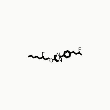 CCCCCC(F)CCOc1cnc(-c2ccc(CCC(C)F)cc2)nc1